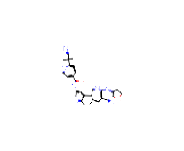 Cc1ncc(NC(=O)C2=CC=NC(C(C)(C)C#N)=C=C2)cc1C1C=NC(/N=C2/CCOC2)=C(C#N)CC1C